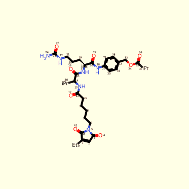 CCC1=CC(=O)N(CCCCCC(=O)NC(C(=O)N[C@@H](CCCNC(N)=O)C(=O)Nc2ccc(COC(=O)C(C)C)cc2)C(C)C)C1=O